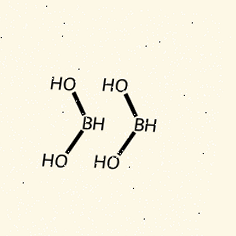 OBO.OBO